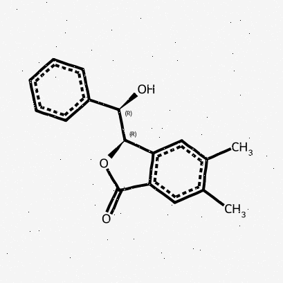 Cc1cc2c(cc1C)[C@H]([C@H](O)c1ccccc1)OC2=O